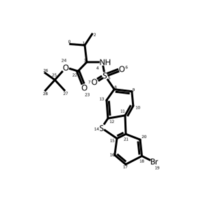 CC(C)C(NS(=O)(=O)c1ccc2c(c1)sc1ccc(Br)cc12)C(=O)OC(C)(C)C